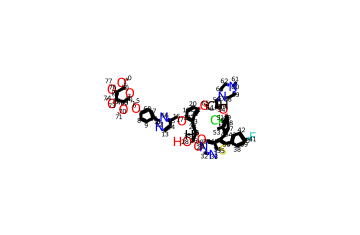 CO[C@H]1O[C@H](COc2ccc(-c3nccc(COc4ccc5cc4C[C@H](C(=O)O)Oc4ncnc6sc(-c7ccc(F)cc7)c(c46)-c4ccc(c(Cl)c4C)O[C@H](CN4CCN(C)CC4)CO5)n3)cc2)[C@@H](OC)[C@H](OC)[C@@H]1OC